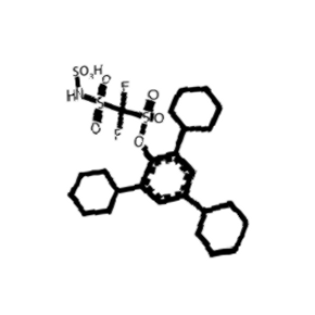 O=S(=O)(O)NS(=O)(=O)C(F)(F)S(=O)(=O)Oc1c(C2CCCCC2)cc(C2CCCCC2)cc1C1CCCCC1